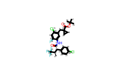 C[C@H]([C@H](C(=O)Nc1cc(CC2(C(=O)OC(C)(C)C)CC2)c(Cl)cc1F)c1ccc(Cl)cc1)C(F)(F)F